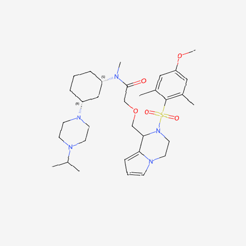 COc1cc(C)c(S(=O)(=O)N2CCn3cccc3C2COCC(=O)N(C)[C@H]2CCC[C@@H](N3CCN(C(C)C)CC3)C2)c(C)c1